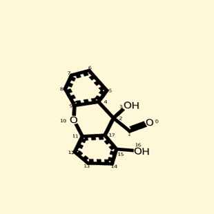 O=CC1(O)c2ccccc2Oc2cccc(O)c21